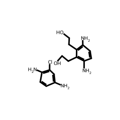 Nc1ccc(N)c(CCO)c1CCO.Nc1ccc(N)c(Cl)c1